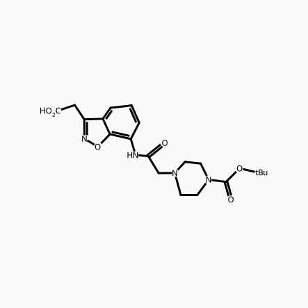 CC(C)(C)OC(=O)N1CCN(CC(=O)Nc2cccc3c(CC(=O)O)noc23)CC1